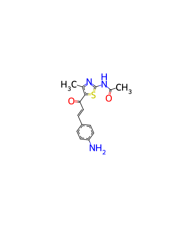 CC(=O)Nc1nc(C)c(C(=O)C=Cc2ccc(N)cc2)s1